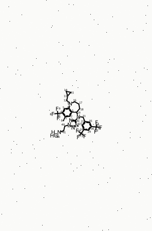 Cc1cc2c(cc1C(F)(F)F)N(CC1CC1)CCCC2N(Cc1cc(C(F)(F)F)cc(C(F)(F)F)c1)c1nnn(CCN)n1.Cl